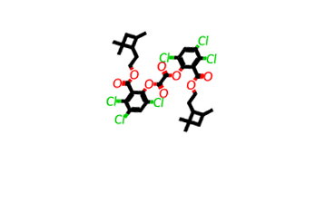 CC1CC(C)(C)C1CCOC(=O)c1c(Cl)c(Cl)cc(Cl)c1OC(=O)C(=O)Oc1c(Cl)cc(Cl)c(Cl)c1C(=O)OCCC1C(C)CC1(C)C